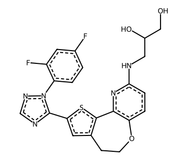 OCC(O)CNc1ccc2c(n1)-c1sc(-c3ncnn3-c3ccc(F)cc3F)cc1CCO2